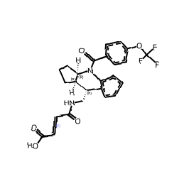 O=C(O)/C=C/C(=O)NC[C@H]1c2ccccc2N(C(=O)c2ccc(OC(F)(F)F)cc2)[C@@H]2CCC[C@@H]21